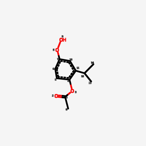 CC(=O)Oc1ccc(OO)cc1C(C)C